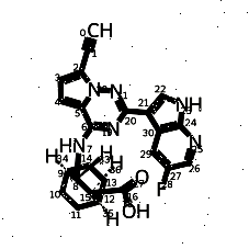 C#Cc1ccc2c(N[C@H]3[C@H]4CC[C@H](CC4)[C@@H]3C(=O)O)nc(-c3c[nH]c4ncc(F)cc34)nn12